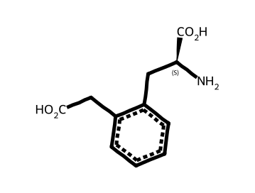 N[C@@H](Cc1ccccc1CC(=O)O)C(=O)O